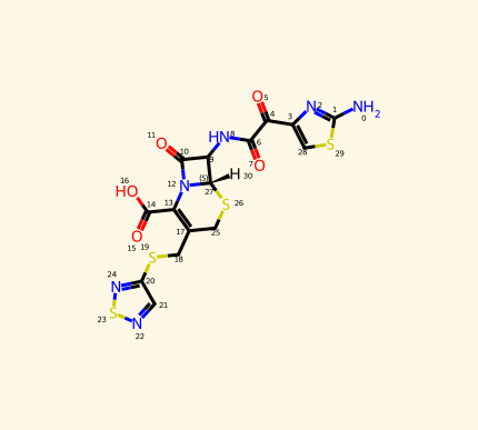 Nc1nc(C(=O)C(=O)NC2C(=O)N3C(C(=O)O)=C(CSc4cnsn4)CS[C@@H]23)cs1